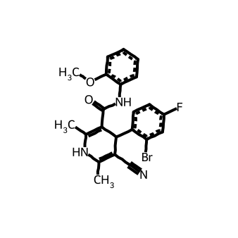 COc1ccccc1NC(=O)C1=C(C)NC(C)=C(C#N)C1c1ccc(F)cc1Br